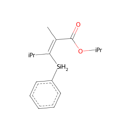 CC(C(=O)OC(C)C)=C([SiH2]c1ccccc1)C(C)C